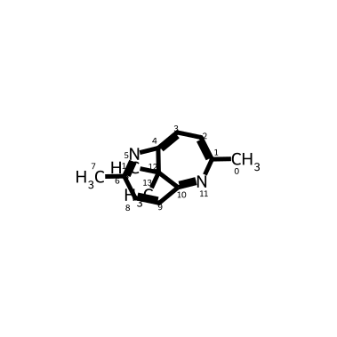 CC1=CC=C2N=C(C)C=CC(=N1)C2(C)C